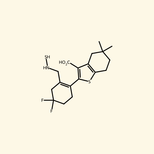 CC1(C)CCc2sc(C3=C(CNS)CC(F)(F)CC3)c(C(=O)O)c2C1